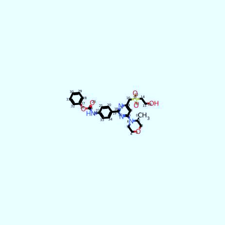 C[C@H]1COCCN1c1cc(CS(=O)(=O)CCO)nc(-c2ccc(NC(=O)Oc3ccccc3)cc2)n1